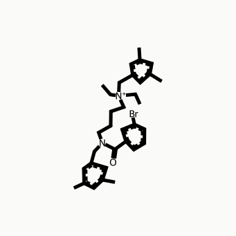 CC[N+](CC)(CCCCN(Cc1cc(C)cc(C)c1)C(=O)c1cccc(Br)c1)Cc1cc(C)cc(C)c1